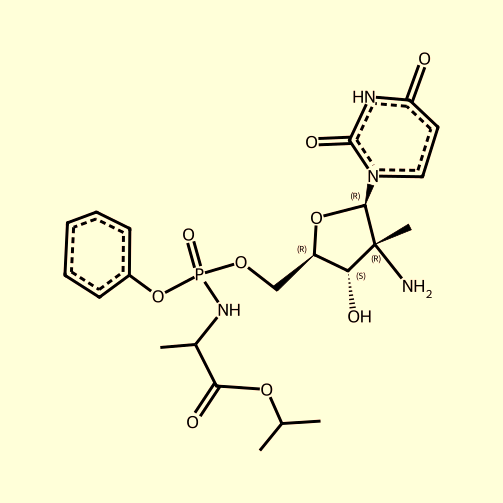 CC(C)OC(=O)C(C)NP(=O)(OC[C@H]1O[C@@H](n2ccc(=O)[nH]c2=O)[C@](C)(N)[C@@H]1O)Oc1ccccc1